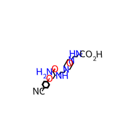 N#Cc1ccc(OCC(NCCN2CC3CN(CCNC(=O)O)CC(C2)O3)C(N)=O)cc1